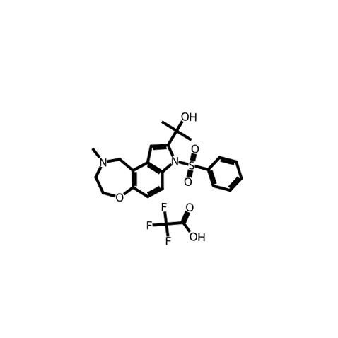 CN1CCOc2ccc3c(cc(C(C)(C)O)n3S(=O)(=O)c3ccccc3)c2C1.O=C(O)C(F)(F)F